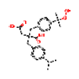 CC(C)c1ccc(CC(CC(=O)O)(Cc2ccc(C(C)(C)OO)cc2)C(=O)O)cc1